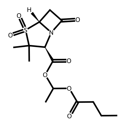 CCCC(=O)OC(C)OC(=O)[C@@H]1N2C(=O)C[C@H]2S(=O)(=O)C1(C)C